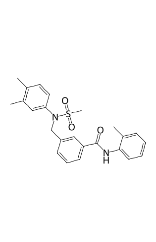 Cc1ccc(N(Cc2cccc(C(=O)Nc3ccccc3C)c2)S(C)(=O)=O)cc1C